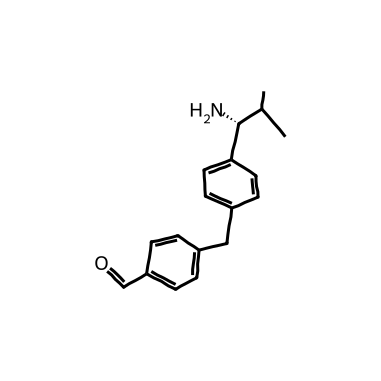 CC(C)[C@@H](N)c1ccc(Cc2ccc(C=O)cc2)cc1